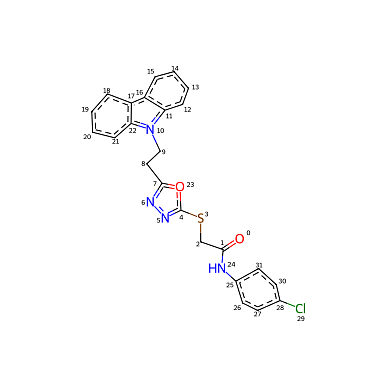 O=C(CSc1nnc(CCn2c3ccccc3c3ccccc32)o1)Nc1ccc(Cl)cc1